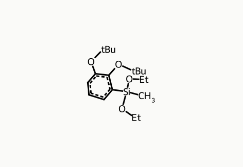 CCO[Si](C)(OCC)c1cccc(OC(C)(C)C)c1OC(C)(C)C